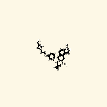 C[C@@H]1Cc2c(ccc3[nH]ncc23)[C@@H](c2ccc(OCCN3CC(CF)C3)cn2)N1CC1(F)CC1